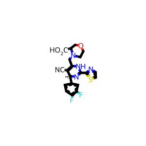 C[C@@]1(c2ccc(F)c(F)c2)N=C(c2nccs2)NC(CN2CCOCC2C(=O)O)=C1C#N